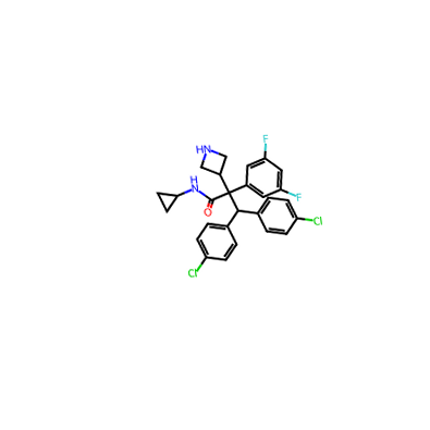 O=C(NC1CC1)C(c1cc(F)cc(F)c1)(C1CNC1)C(c1ccc(Cl)cc1)c1ccc(Cl)cc1